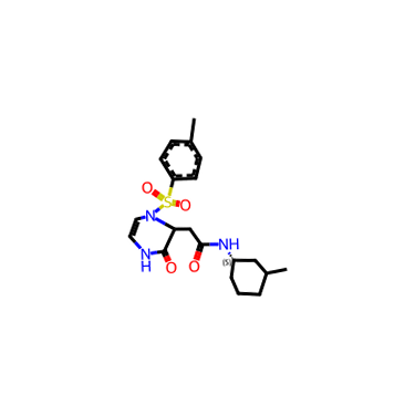 Cc1ccc(S(=O)(=O)N2C=CNC(=O)C2CC(=O)N[C@H]2CCCC(C)C2)cc1